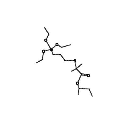 CCO[Si](CCCSC(C)(C)C(=O)OC(C)CC)(OCC)OCC